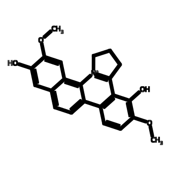 COc1cc2c(ccc3c4ccc(OC)c(O)c4c4[n+](c23)CCC4)cc1O